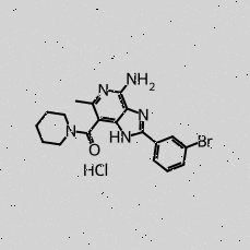 Cc1nc(N)c2nc(-c3cccc(Br)c3)[nH]c2c1C(=O)N1CCCCC1.Cl